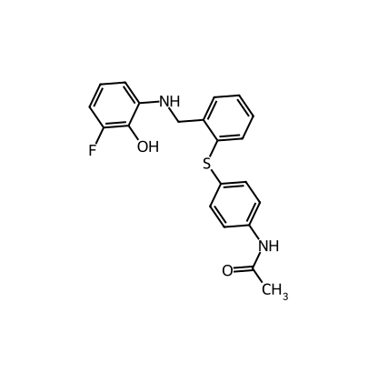 CC(=O)Nc1ccc(Sc2ccccc2CNc2cccc(F)c2O)cc1